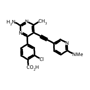 CNc1ccc(C#Cc2c(C)nc(N)nc2-c2ccc(C(=O)O)c(Cl)c2)cn1